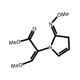 COC=C(C(=O)OC)N1C=CCC1=NOC